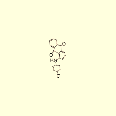 O=C1c2ccccc2C(=O)c2c(Nc3ccc(Cl)cc3)cccc21